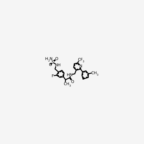 Cc1cccc(-c2nc(C(F)(F)F)ccc2CNC(=O)C(C)c2ccc(CNS(N)(=O)=O)c(F)c2)c1